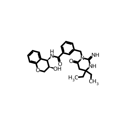 CCC1(CC)CC(=O)N(Cc2cccc(C(=O)N[C@@H]3c4ccccc4OC[C@@H]3O)c2)C(=N)N1